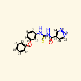 O=C(NC(=S)Nc1cccc(Oc2ccccc2)c1)c1ccnnc1